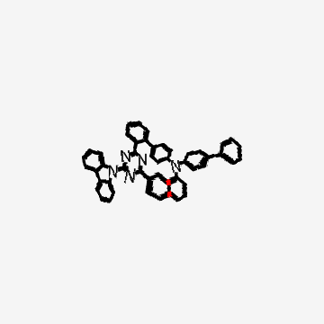 c1ccc(-c2ccc(N(c3ccccc3)c3ccc(-c4ccccc4-c4nc(-c5ccccc5)nc(-n5c6ccccc6c6ccccc65)n4)cc3)cc2)cc1